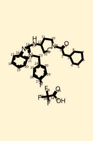 O=C(CC1CCCCC1)N1CCC(Nc2nc3ccccc3n2Cc2ccc(F)cc2)CC1.O=C(O)C(F)(F)F